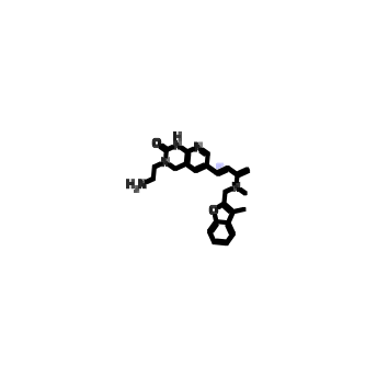 C=C(/C=C/c1cnc2c(c1)CN(CCN)C(=O)N2)N(C)Cc1oc2ccccc2c1C